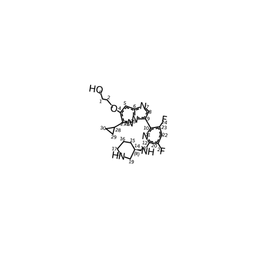 OCCOc1cc2ncc(-c3nc(N[C@@H]4CCCNC4)c(F)cc3F)n2nc1C1CC1